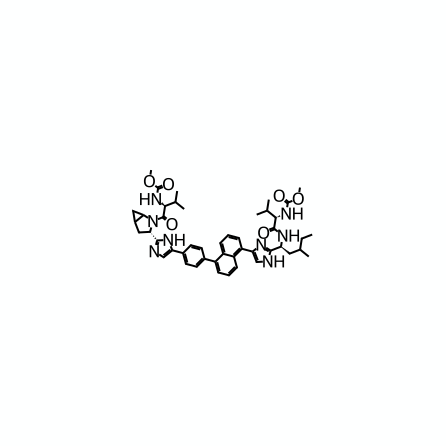 CCC(C)C[C@H](NC(=O)[C@@H](NC(=O)OC)C(C)C)c1nc(-c2cccc3c(-c4ccc(-c5cnc([C@@H]6CC7CC7N6C(=O)[C@@H](NC(=O)OC)C(C)C)[nH]5)cc4)cccc23)c[nH]1